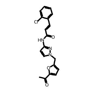 CC(=O)c1ccc(Cn2ccc(NC(=O)C=Cc3ccccc3Cl)n2)o1